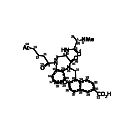 CN[C@@H](C)C(=O)NC1CN(C(=O)CCCC(C)=O)c2ccccc2N(Cc2c(OC)ccc3cc(C(=O)O)ccc23)C1=O